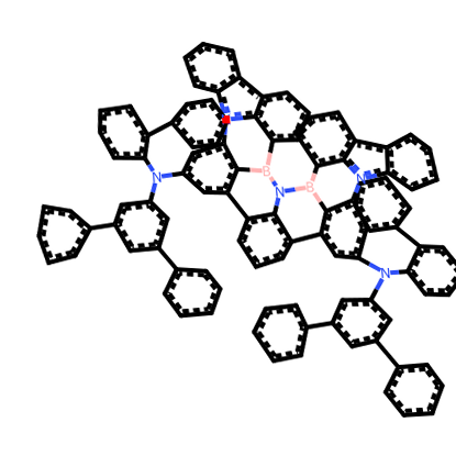 c1ccc(-c2cc(-c3ccccc3)cc(N(c3cc4c5c(c3)-n3c6ccccc6c6cccc(c63)B5N3B5c6c(cc(N(c7cc(-c8ccccc8)cc(-c8ccccc8)c7)c7ccccc7-c7ccccc7)cc6-n6c7ccccc7c7cccc5c76)-c5cccc-4c53)c3ccccc3-c3ccccc3)c2)cc1